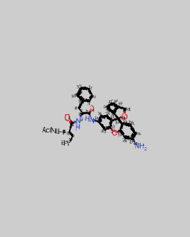 CC(=O)N[C@@H](CC(C)C)C(=O)N[C@@H](Cc1ccccc1)C(=O)Nc1ccc2c(c1)Oc1cc(N)ccc1C21OCc2ccccc21